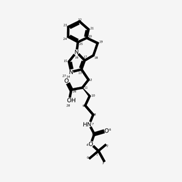 CC(C)(C)OC(=O)NCCC[C@H](Cc1ncn2c1CCc1ccccc1-2)C(=O)O